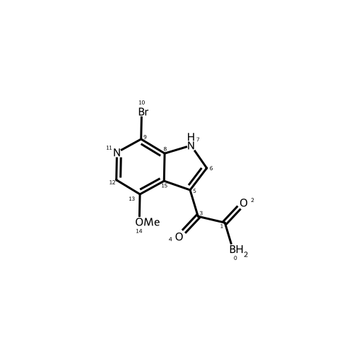 BC(=O)C(=O)c1c[nH]c2c(Br)ncc(OC)c12